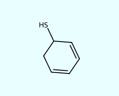 SC1C=CC=CC1